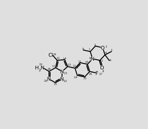 CC1COC(C)(C)C(=O)N1c1cc(-c2cc(Cl)c3c(N)ncnn23)ccc1F